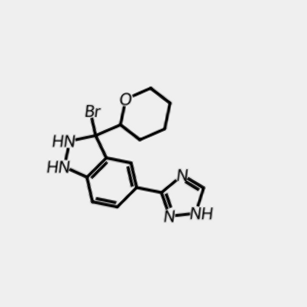 BrC1(C2CCCCO2)NNc2ccc(-c3nc[nH]n3)cc21